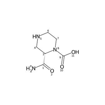 NC(=O)[C@@H]1CNCCN1C(=O)O